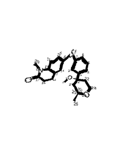 CO[C@]1(c2cccc(Sc3ccc4c(c3)CCC(=O)N4C)c2)CCO[C@@H](C)C1